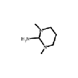 CN1CCCN(C)C1N